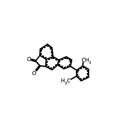 Cc1cccc(C)c1-c1ccc2c(c1)cc1c3c(cccc32)C(=O)C1=O